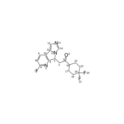 O=C(CC1c2nc(F)ccc2-c2cncn21)C1CCC(F)(F)CC1